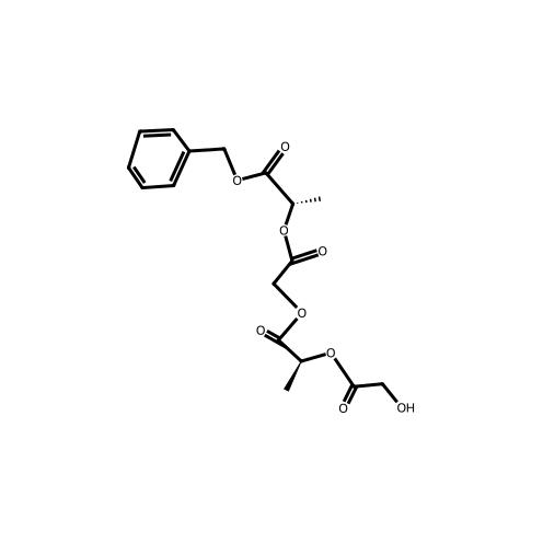 C[C@H](OC(=O)CO)C(=O)OCC(=O)O[C@@H](C)C(=O)OCc1ccccc1